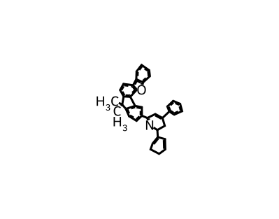 CC1(C)c2ccc(C3=NC(C4=CCCC=C4)CC(c4ccccc4)=C3)cc2-c2c1ccc1c2oc2ccccc21